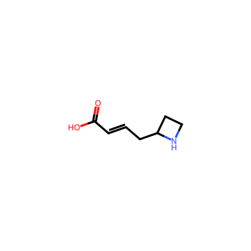 O=C(O)C=CCC1CCN1